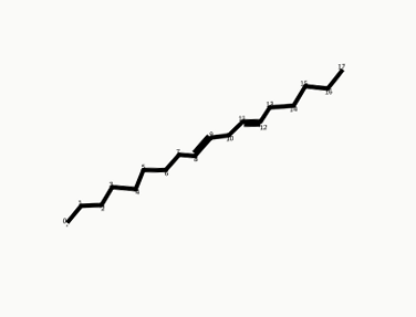 [CH2]CCCCCCCC=CCC=CCCCCC